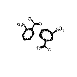 O=C(Cl)c1cccc([N+](=O)[O-])c1.O=C(Cl)c1ccccc1[N+](=O)[O-]